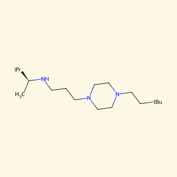 CC(C)[C@H](C)NCCCN1CCN(CCC(C)(C)C)CC1